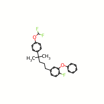 CC(C)(CCCc1ccc(F)c(Oc2ccccc2)c1)c1ccc(OC(F)F)cc1